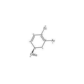 CCC1=C(C(C)=O)C[C@@H](OC)C=C1